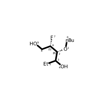 CCCCO[C@H](C(O)CC)[C@@H](F)CO